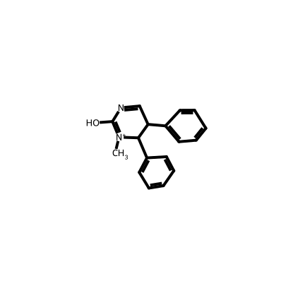 C[N+]1=C(O)N=CC(c2ccccc2)C1c1ccccc1